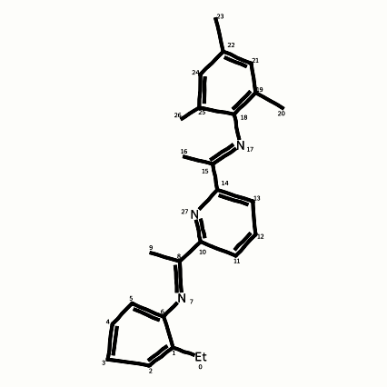 CCc1ccccc1/N=C(\C)c1cccc(/C(C)=N/c2c(C)cc(C)cc2C)n1